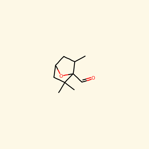 CC1CC2CC(C)(C)C1(C=O)O2